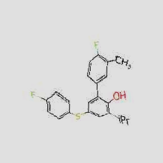 Cc1cc(-c2cc(Sc3ccc(F)cc3)cc(C(C)C)c2O)ccc1F